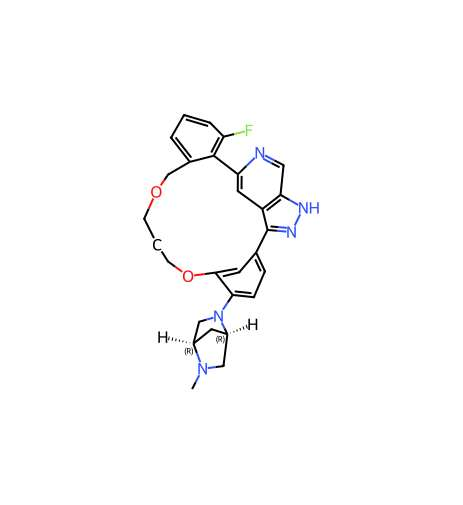 CN1C[C@H]2C[C@@H]1CN2c1ccc2cc1OCCCOCc1cccc(F)c1-c1cc3c-2n[nH]c3cn1